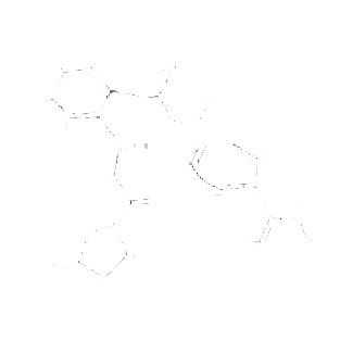 [2H]C(c1ccccc1OCC(=O)N1CCC(C(=O)O)C1)N(C(=O)c1ccc(-c2ccco2)cc1)C(C)C